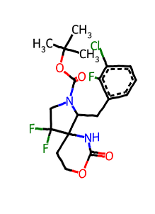 CC(C)(C)OC(=O)N1CC(F)(F)C2(CCOC(=O)N2)C1Cc1cccc(Cl)c1F